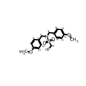 COc1ccc(CN(Cc2ccc(OC)cc2)S(=O)(=O)CF)cc1